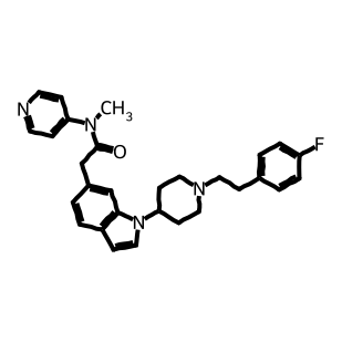 CN(C(=O)Cc1ccc2ccn(C3CCN(CCc4ccc(F)cc4)CC3)c2c1)c1ccncc1